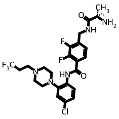 C[C@H](N)C(=O)NCc1ccc(C(=O)Nc2ccc(Cl)cc2N2CCN(CCC(F)(F)F)CC2)c(F)c1F